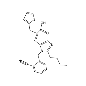 CCCCc1ncc(C=C(Cc2cccs2)C(=O)O)n1Cc1ccccc1C#N